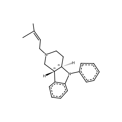 CC(C)=CCN1CC[C@@H]2[C@@H](C1)c1ccccc1N2c1ccccc1